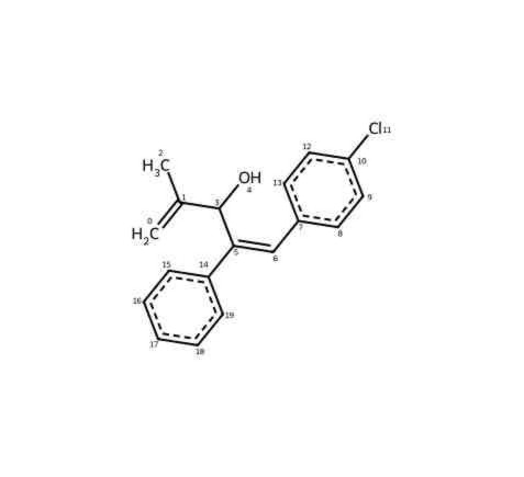 C=C(C)C(O)C(=Cc1ccc(Cl)cc1)c1ccccc1